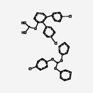 Clc1ccc(OP(Oc2ccccc2)Oc2ccccc2)cc1.OP(O)Oc1cccc(-c2ccc(Cl)cc2)c1-c1ccc(Cl)cc1